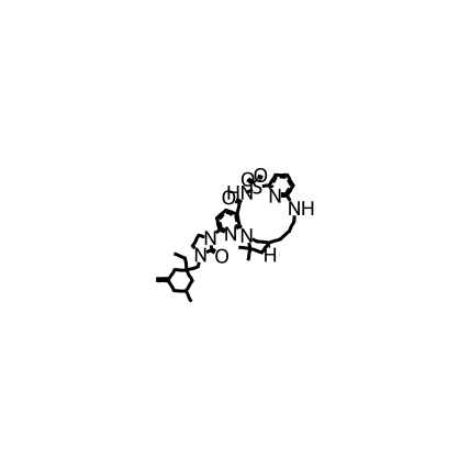 C=C1CC(C)CC(CC)(CN2CCN(c3ccc4c(n3)N3C[C@@H](CCCNc5cccc(n5)S(=O)(=O)NC4=O)CC3(C)C)C2=O)C1